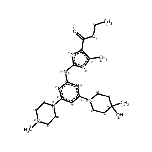 CCOC(=O)c1sc(Nc2nc(N3CCN(C)CC3)cc(N3CCC(C)(O)CC3)n2)nc1C